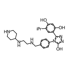 CC(C)c1cc(-c2nnc(O)n2-c2ccc(CNCCNC3CCNCC3)cc2)c(O)cc1O